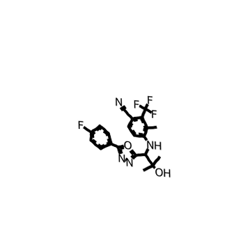 Cc1c(NC(c2nnc(-c3ccc(F)cc3)o2)C(C)(C)O)ccc(C#N)c1C(F)(F)F